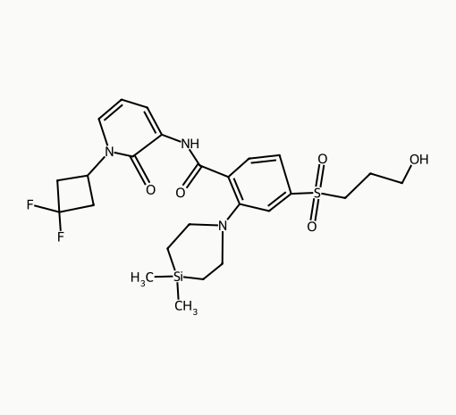 C[Si]1(C)CCN(c2cc(S(=O)(=O)CCCO)ccc2C(=O)Nc2cccn(C3CC(F)(F)C3)c2=O)CC1